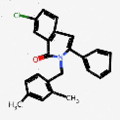 Cc1ccc(Cn2c(-c3ccccc3)cc3ccc(Cl)cc3c2=O)c(C)c1